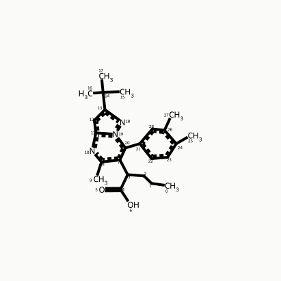 CCCC(C(=O)O)c1c(C)nc2cc(C(C)(C)C)nn2c1-c1ccc(C)c(C)c1